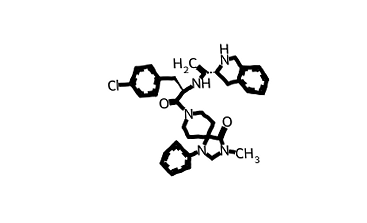 C=C(N[C@H](Cc1ccc(Cl)cc1)C(=O)N1CCC2(CC1)C(=O)N(C)CN2c1ccccc1)[C@H]1Cc2ccccc2CN1